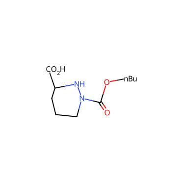 CCCCOC(=O)N1CCCC(C(=O)O)N1